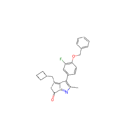 CC1=C(c2ccc(OCc3ccccc3)c(F)c2)C2=C(CC3CCC3)CC(=O)C2=N1